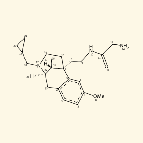 COc1ccc2c(c1)[C@]1(CCNC(=O)CN)CCN(CC3CC3)[C@H](C2)[C@@H]1C